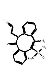 C=CCN1C(=O)c2ccccc2/C([Si](C)(C)C)=C(/C)c2ccccc21